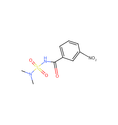 CN(C)S(=O)(=O)NC(=O)c1cccc([N+](=O)[O-])c1